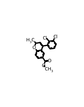 COC(=O)c1ccc2c(c1)C(c1cccc(Cl)c1Cl)=CC(C)O2